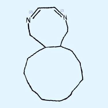 C1=N\CC2CCCCCCCCCC2C\N=C/1